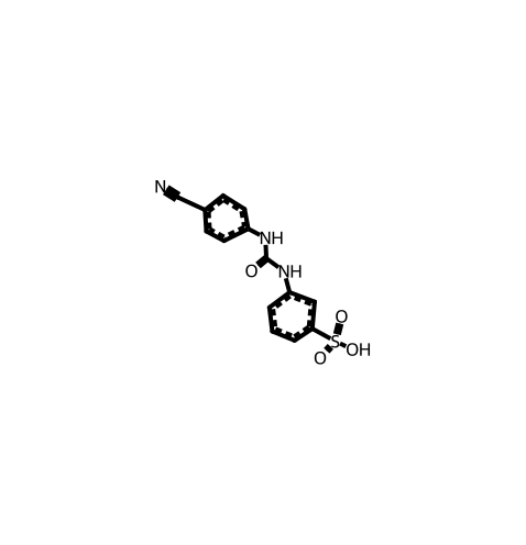 N#Cc1ccc(NC(=O)Nc2cccc(S(=O)(=O)O)c2)cc1